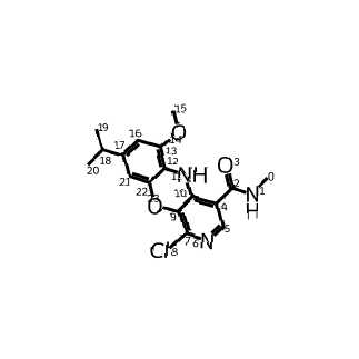 CNC(=O)c1cnc(Cl)c2c1Nc1c(OC)cc(C(C)C)cc1O2